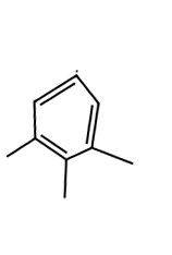 Cc1c[c]cc(C)c1C